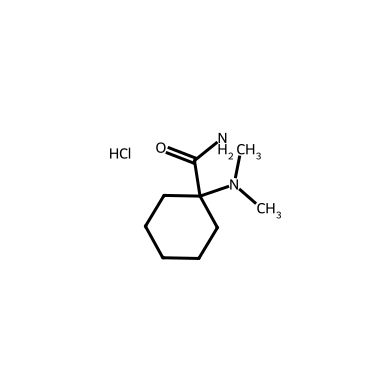 CN(C)C1(C(N)=O)CCCCC1.Cl